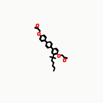 CCCCCC(C)(C)c1cc(C2=CCC(c3ccc(OCC4CO4)cc3)C=C2)ccc1OCC1CO1